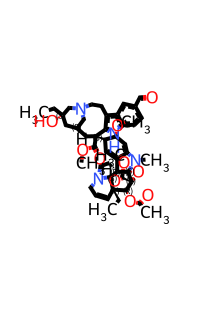 CC[C@]1(O)C[C@H]2CN(CCc3c([nH]c4ccc(C=O)cc34)[C@@](C(=O)OC)(C3C=C4C(=CC3OC)N(C)[C@@]35O[C@]3(C(=O)OC)[C@H](OC(C)=O)[C@]3(CC)C=CCN6CC[C@]45[C@@H]63)C2)C1